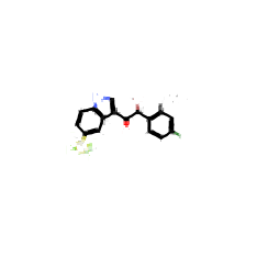 COc1cc(Cl)ccc1C(Br)C(=O)c1c[nH]c2ccc(S(F)(F)(F)(F)F)cc12